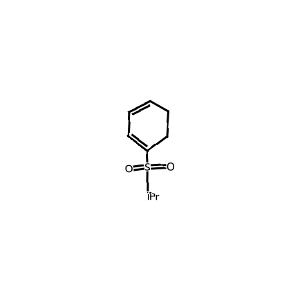 CC(C)S(=O)(=O)C1=CC=CCC1